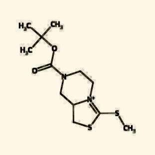 CSC1=[N+]2CCN(C(=O)OC(C)(C)C)CC2CS1